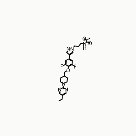 CCc1cnc(N2CCC(COc3c(F)cc(-c4cnn(CCCNS(C)(=O)=O)c4)cc3F)CC2)nc1